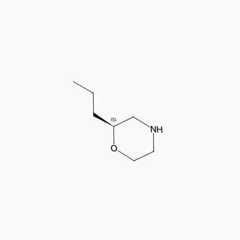 CCC[C@H]1CNCCO1